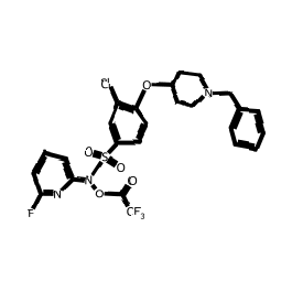 O=C(ON(c1cccc(F)n1)S(=O)(=O)c1ccc(OC2CCN(Cc3ccccc3)CC2)c(Cl)c1)C(F)(F)F